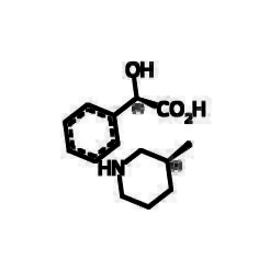 C[C@H]1CCCNC1.O=C(O)[C@H](O)c1ccccc1